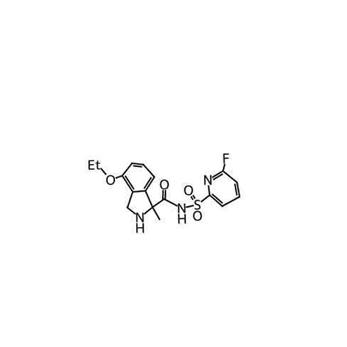 CCOc1cccc2c1CNC2(C)C(=O)NS(=O)(=O)c1cccc(F)n1